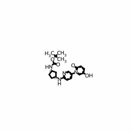 CC(C)(C)OC(=O)N[C@H]1CC[C@H](Nc2ccc(-n3cc(O)ccc3=O)cn2)C1